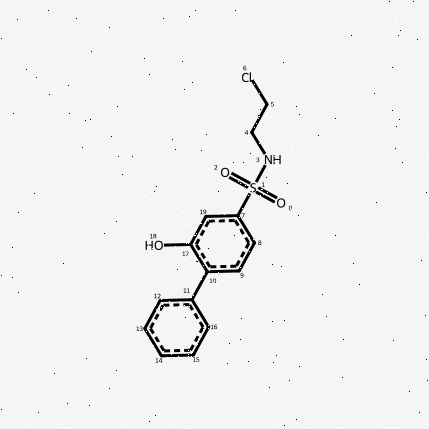 O=S(=O)(NCCCl)c1ccc(-c2ccccc2)c(O)c1